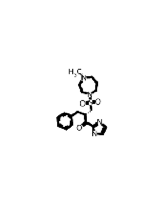 CN1CCCN(S(=O)(=O)C[C@@H](Cc2ccccc2)C(=O)C2=NC=C[N]2)CC1